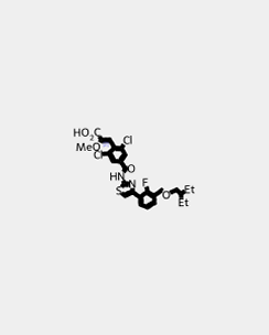 CCC(CC)COCc1cccc(-c2csc(NC(=O)c3cc(Cl)c(/C=C(\OC)C(=O)O)c(Cl)c3)n2)c1F